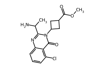 COC(=O)C1CC(n2c(C(C)N)nc3cccc(Cl)c3c2=O)C1